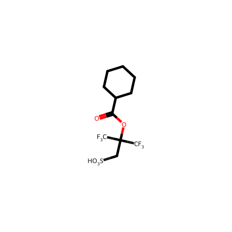 O=C(OC(CS(=O)(=O)O)(C(F)(F)F)C(F)(F)F)C1CCCCC1